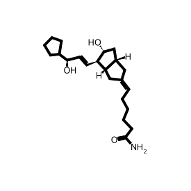 NC(=O)CCCCC=C1C[C@H]2C[C@@H](O)[C@H](C=C[C@@H](O)C3CCCC3)[C@H]2C1